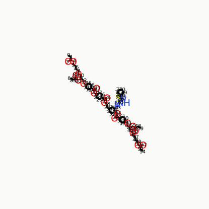 C=CC(=O)OCCCCOCC(COc1ccc(C(=O)Oc2ccc(C(=O)OCCc3ccc(OC(=O)c4ccc(OCC(COCCCCOC(=O)C=C)OC(=O)C=C)cc4)c(/C=N/Nc4nc5ccccc5s4)c3)cc2)cc1)OC(=O)C=C